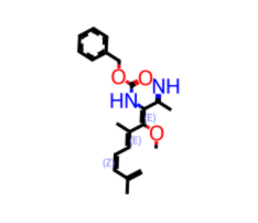 C=C(C)\C=C/C=C(C)/C(OC)=C(\NC(=O)OCc1ccccc1)C(C)=N